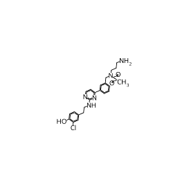 CS(=O)(=O)N(CCCN)Cc1cccc(-c2ccnc(NCCc3ccc(O)c(Cl)c3)n2)c1